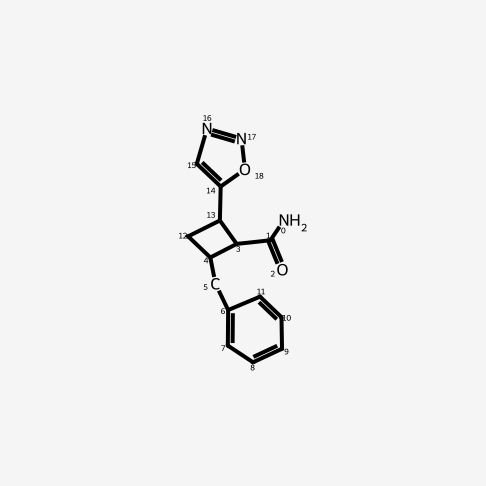 NC(=O)C1C(Cc2ccccc2)CC1c1cnno1